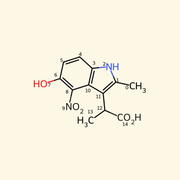 Cc1[nH]c2ccc(O)c([N+](=O)[O-])c2c1C(C)C(=O)O